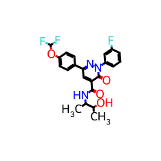 CC(O)C(C)NC(=O)c1cc(-c2ccc(OC(F)F)cc2)nn(-c2cccc(F)c2)c1=O